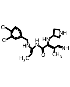 C/C=C(\NCc1ccc(Cl)c(Cl)c1)NC(=O)/C(NC1CCNC1)=C(\C)C=N